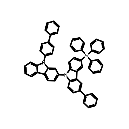 c1ccc(-c2ccc(-n3c4ccccc4c4ccc(-n5c6ccc(-c7ccccc7)cc6c6cc([Si](c7ccccc7)(c7ccccc7)c7ccccc7)ccc65)cc43)cc2)cc1